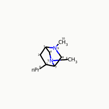 CCCC1CC2CN(C)C1CN2C